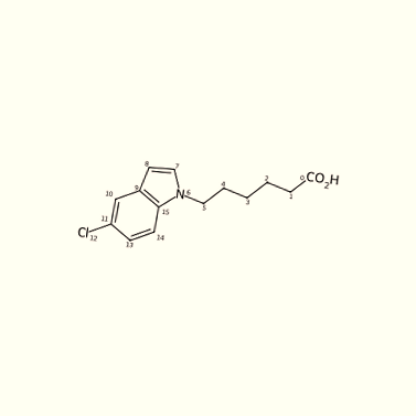 O=C(O)CCCCCn1ccc2cc(Cl)ccc21